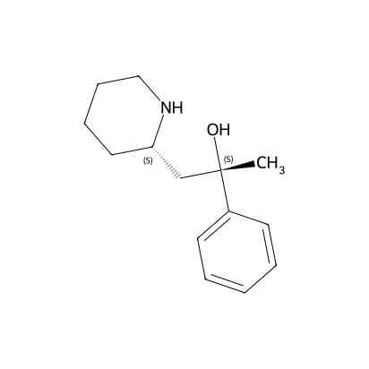 C[C@](O)(C[C@@H]1CCCCN1)c1ccccc1